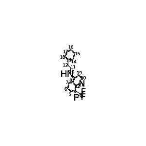 FC(F)(F)c1cccc2c(NCCc3ccccc3)ccnc12